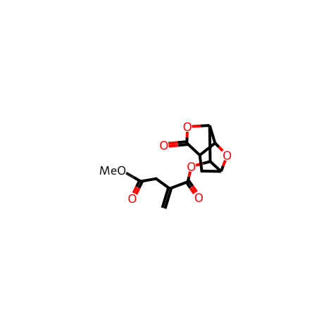 C=C(CC(=O)OC)C(=O)OC1C2CC3C(=O)OC1C3O2